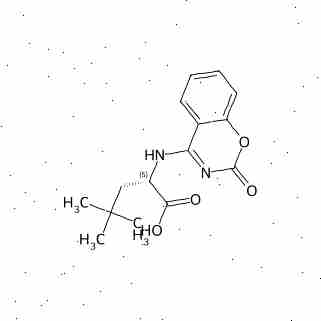 CC(C)(C)C[C@H](Nc1nc(=O)oc2ccccc12)C(=O)O